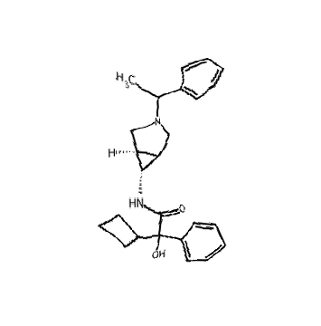 CC(c1ccccc1)N1CC2[C@H](C1)[C@H]2NC(=O)C(O)(c1ccccc1)C1CCC1